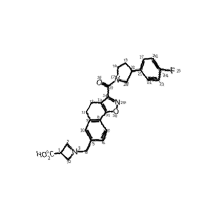 O=C(O)C1CN(Cc2ccc3c(c2)CCc2c(C(=O)N4CCC(c5ccc(F)cc5)C4)noc2-3)C1